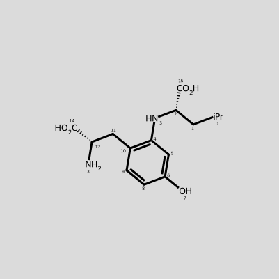 CC(C)C[C@H](Nc1cc(O)ccc1C[C@H](N)C(=O)O)C(=O)O